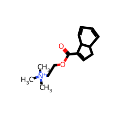 C[N+](C)(C)CCOC(=O)C1=CCC2C=CC=CC12